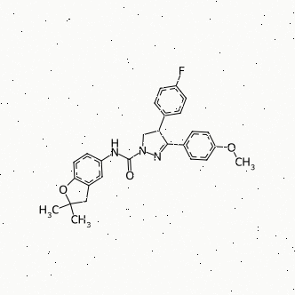 COc1ccc(C2=NN(C(=O)Nc3ccc4c(c3)CC(C)(C)O4)CC2c2ccc(F)cc2)cc1